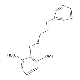 COc1cccc(C(=O)O)c1OOCC=Cc1ccccc1